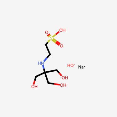 O=S(=O)(O)CCNC(CO)(CO)CO.[Na+].[OH-]